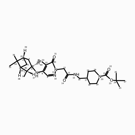 C[C@@H]1[C@H]2C[C@@H](C[C@H]1Nc1cnn(CC(=O)NCC3CCN(C(=O)OC(C)(C)C)CC3)c(=O)c1Br)C2(C)C